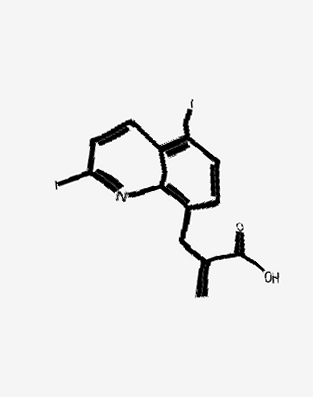 C=C(Cc1ccc(I)c2ccc(I)nc12)C(=O)O